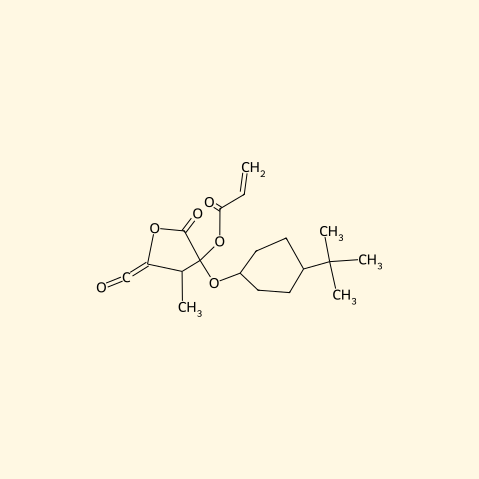 C=CC(=O)OC1(OC2CCC(C(C)(C)C)CC2)C(=O)OC(=C=O)C1C